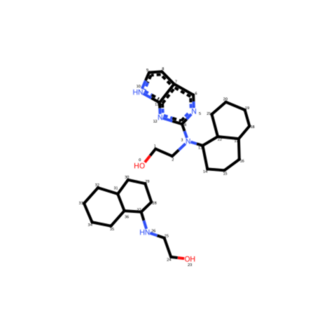 OCCN(c1ncc2cc[nH]c2n1)C1CCCC2CCCCC21.OCCNC1CCCC2CCCCC21